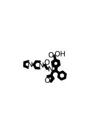 O=C(O)c1ccc2c(C3CCCCC3)c(-c3ccoc3)n(CC(=O)N3CCC(N4CCCC4)CC3)c2c1